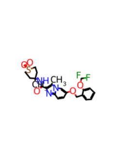 Cc1c(C(=O)NC2(C)CCS(=O)(=O)CC2)nc2ccc(OCc3ccccc3OC(F)F)cn12